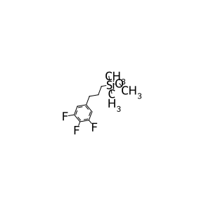 CO[Si](C)(C)CCCc1cc(F)c(F)c(F)c1